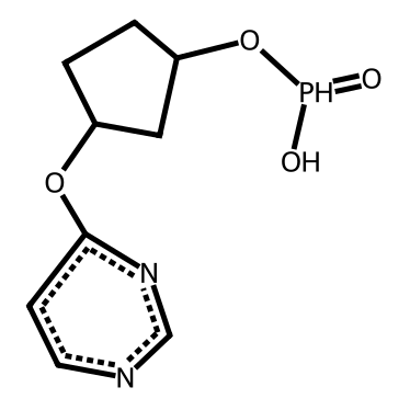 O=[PH](O)OC1CCC(Oc2ccncn2)C1